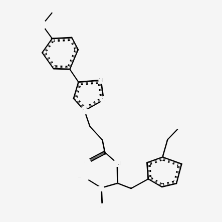 CCc1cccc(CC(NC(=O)CCn2cc(-c3ccc(OC)cc3)nn2)B(O)O)c1